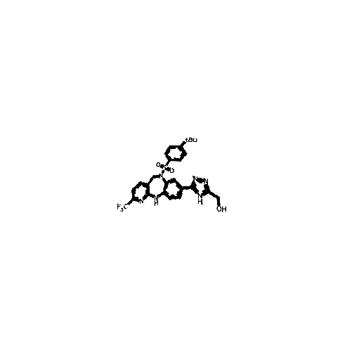 CC(C)(C)c1ccc(S(=O)(=O)N2Cc3ccc(C(F)(F)F)nc3Nc3ccc(-c4nnc(CO)[nH]4)cc32)cc1